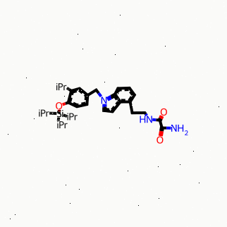 CC(C)c1cc(Cn2ccc3c(CCNC(=O)C(N)=O)cccc32)ccc1O[Si](C(C)C)(C(C)C)C(C)C